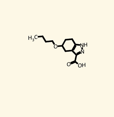 CCCCOC1CCc2[nH]nc(C(=O)O)c2C1